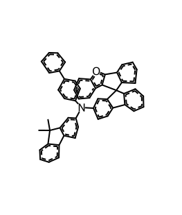 CC1(C)c2ccccc2-c2ccc(N(c3ccc(-c4ccccc4)cc3)c3ccc4c(c3)C3(c5ccccc5-4)c4ccccc4-c4oc5ccccc5c43)cc21